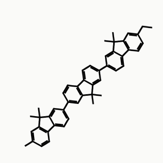 CCc1ccc2c(c1)C(C)(C)c1cc(-c3ccc4c(c3)C(C)(C)c3cc(-c5ccc6c(c5)C(C)(C)c5cc(C)ccc5-6)ccc3-4)ccc1-2